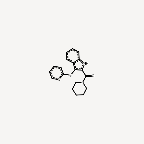 O=C(c1[nH]c2ccccc2c1Sc1ccccn1)N1CCCCC1